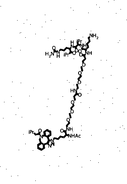 CC(=O)NC(CCCCn1nnc2c1-c1ccccc1N(C(=O)CC(C)C)Cc1ccccc1-2)C(=O)NCCOCCOCCOCCC(=O)NCCOCCOCCOCCC(=O)NC(CCCCN)C(=O)NC(C(=O)NC(CCCNC(N)=O)C(=O)C(C)C)C(C)C